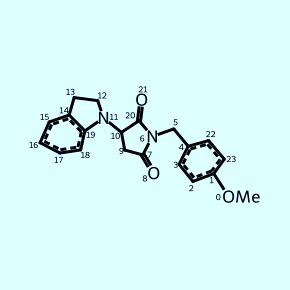 COc1ccc(CN2C(=O)CC(N3CCc4ccccc43)C2=O)cc1